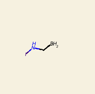 BCNI